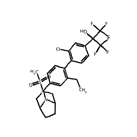 CCc1cc(CN2C3CCC2CN(S(C)(=O)=O)C3)ccc1-c1ccc(C(O)(C(F)(F)F)C(F)(F)F)cc1Cl